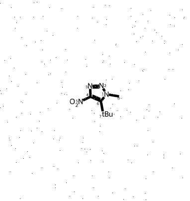 Cn1nnc([N+](=O)[O-])c1C(C)(C)C